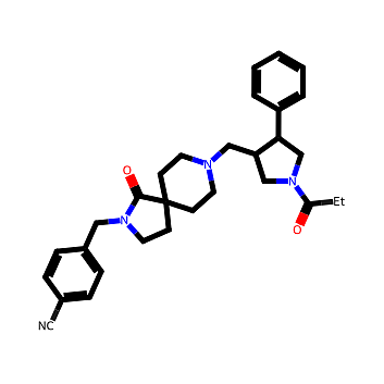 CCC(=O)N1CC(CN2CCC3(CC2)CCN(Cc2ccc(C#N)cc2)C3=O)C(c2ccccc2)C1